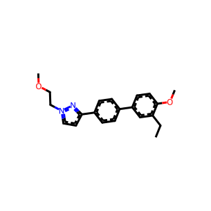 CCc1cc(-c2ccc(-c3ccn(CCOC)n3)cc2)ccc1OC